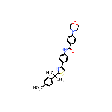 CC(C)(c1ccc(C(=O)O)cc1)c1nc(-c2ccc(NC(=O)c3ccc(N4CCOCC4)cc3)cc2)cs1